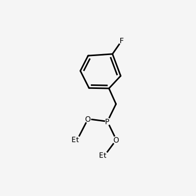 CCOP(Cc1cccc(F)c1)OCC